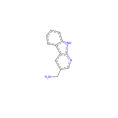 NCc1cnc2[nH]c3ccccc3c2c1